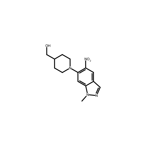 Cn1ncc2cc([N+](=O)[O-])c(N3CCC(CO)CC3)cc21